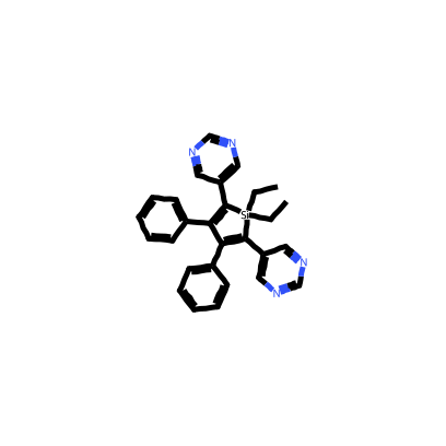 CC[Si]1(CC)C(c2cncnc2)=C(c2ccccc2)C(c2ccccc2)=C1c1cncnc1